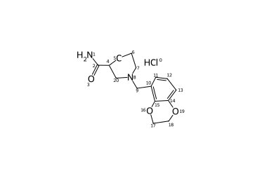 Cl.NC(=O)C1CCCN(Cc2cccc3c2OCCO3)C1